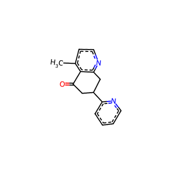 Cc1ccnc2c1C(=O)CC(c1ccccn1)C2